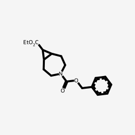 CCOC(=O)C1C2CCN(C(=O)OCc3ccccc3)CCC21